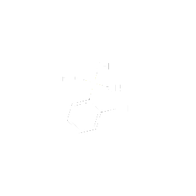 Cc1ccccc1S(C)(C)C